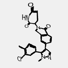 Cc1ccc(-c2c(-c3ccc4c(c3)CN(C3CCC(=O)NC3=O)C4=O)cnn2C)cc1Cl